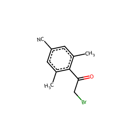 Cc1cc(C#N)cc(C)c1C(=O)CBr